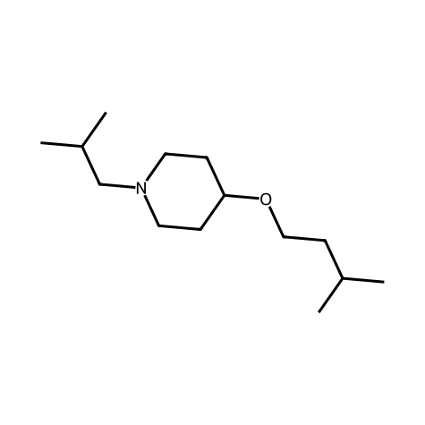 CC(C)CCOC1CCN(CC(C)C)CC1